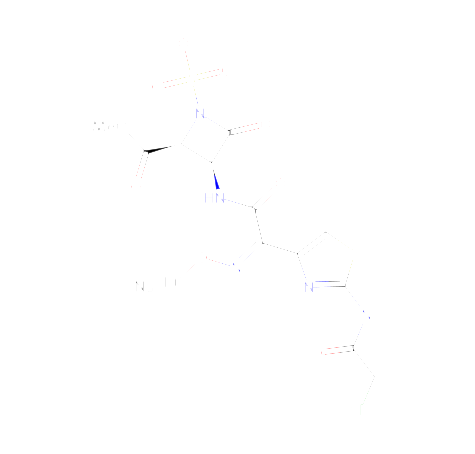 CCON=C(C(=O)N[C@@H]1C(=O)N(S(=O)(=O)[O-])[C@@H]1C(=O)OC)c1csc(NC(=O)CCl)n1.[Na+]